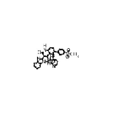 CS(=O)(=O)c1ccc(-c2ccc3[nH]c(=O)c(-c4nc5ccccc5[nH]4)c(N[C@H]4CN5CCC4CC5)c3c2F)cc1